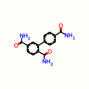 NC(=O)c1ccc(-c2cc(C(N)=O)ccc2C(N)=O)cc1